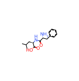 CC(C)C[C@@H](NC(=O)[C@H](N)Cc1ccccc1)C(=O)O